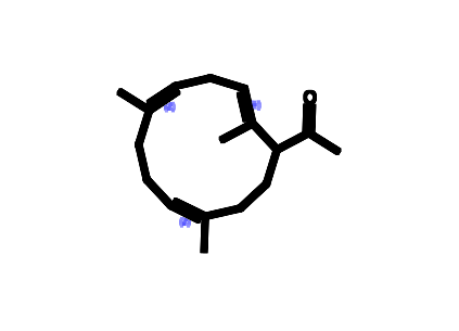 CC(=O)C1CC/C(C)=C\CC/C(C)=C\C/C=C/1C